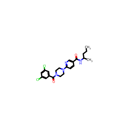 CCCC(C)NC(=O)c1ccc(N2CCN(C(=O)c3cc(Cl)cc(Cl)c3)CC2)nc1